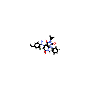 CCc1ccc(Nc2cc(=O)n(C)c3c2c(=O)n(C2CC2)c(=O)n3-c2ccccc2)c(F)c1